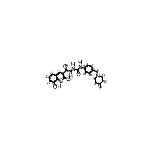 CC1CCN(Cc2ccc(NC(=O)NNC(=O)c3cc4cccc(O)c4oc3=O)cc2)CC1